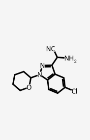 N#CC(N)c1nn(C2CCCCO2)c2ccc(Cl)cc12